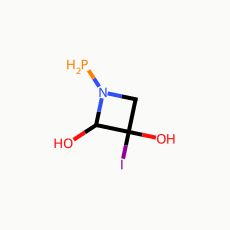 OC1N(P)CC1(O)I